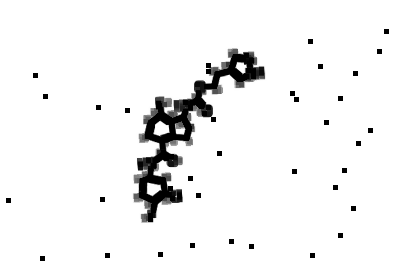 O=C(N[C@H]1CCc2c(C(=O)Nc3ccc(F)c(Cl)c3)ccc(F)c21)OCCc1cn[nH]c1